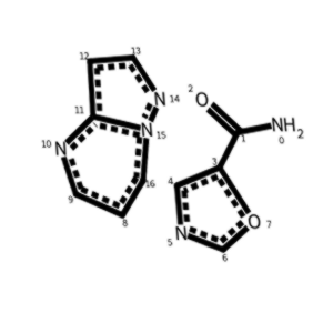 NC(=O)c1cnco1.c1cnc2ccnn2c1